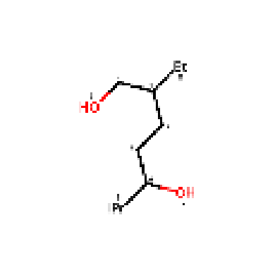 CCC(CO)CCC(O)C(C)C